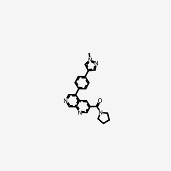 Cn1cc(-c2ccc(-c3cncc4ncc(C(=O)N5CCCC5)cc34)cc2)cn1